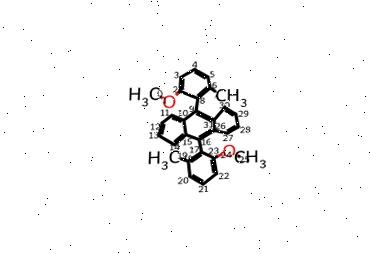 COc1cccc(C)c1-c1c2ccccc2c(-c2c(C)cccc2OC)c2ccccc12